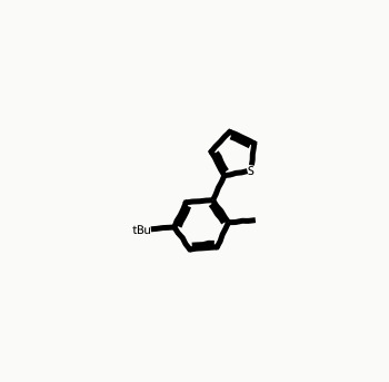 Cc1ccc(C(C)(C)C)cc1-c1cccs1